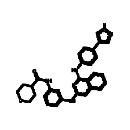 O=C(Nc1cccc(Nc2cc3ccccc3c(Nc3ccc(-c4cn[nH]c4)cc3)n2)c1)C1CCOCC1